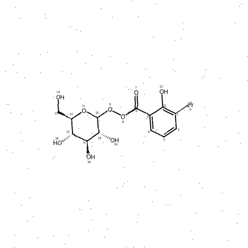 CC(C)c1cccc(C(=O)OOC2O[C@H](CO)[C@@H](O)[C@H](O)[C@H]2O)c1O